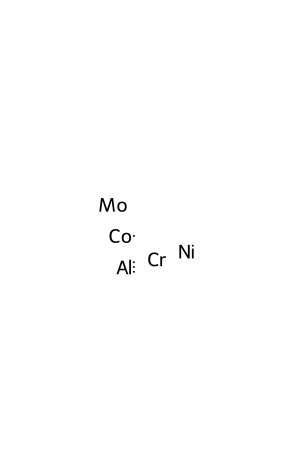 [Al].[Co].[Cr].[Mo].[Ni]